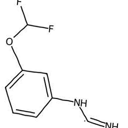 N=[C]Nc1cccc(OC(F)F)c1